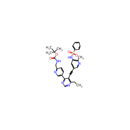 CCc1ncnc(-c2ccc(CNC(=O)OC(C)(C)C)nc2)c1C#Cc1cnc(C)c(NS(=O)(=O)c2ccccc2)c1